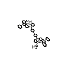 COc1c(SC)cccc1N(c1ccc(-c2ccc(N(c3ccc4c(c3)c3ccccc3n4-c3ccccc3)c3cccc(SO)c3OC)cc2)cc1)c1ccc2c(c1)c1ccccc1n2-c1ccccc1